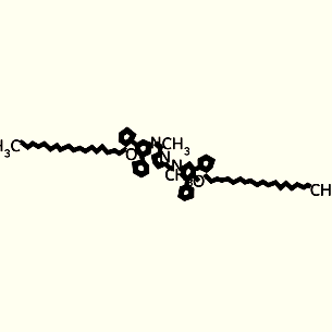 CCCCCCCCCCCCCCCCCCCCOc1c(-c2ccccc2)cc(N=C(C)c2cccc(C(C)=Nc3cc(-c4ccccc4)c(OCCCCCCCCCCCCCCCCCCCC)c(-c4ccccc4)c3)n2)cc1-c1ccccc1